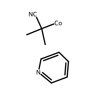 C[C](C)([Co])C#N.c1ccncc1